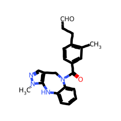 Cc1cc(C(=O)N2Cc3cnn(C)c3Nc3ccccc32)ccc1CCC=O